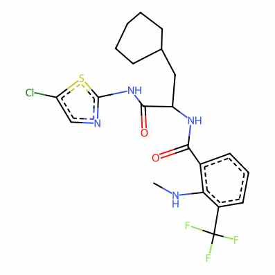 CNc1c(C(=O)NC(CC2CCCCC2)C(=O)Nc2ncc(Cl)s2)cccc1C(F)(F)F